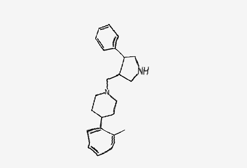 Cc1ccccc1C1CCN(CC2CNCC2c2ccccc2)CC1